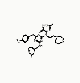 COc1ccc(Sc2nc(Nc3cccc(F)c3)nc(N(CCN3CCOCC3)[C@@H](CC(C)C)C(N)=O)n2)cc1